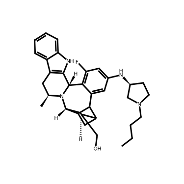 CCCCN1CC[C@H](Nc2cc(F)c3c(c2)C2C4CC2[C@@H](C[C@@H]4CO)N2[C@@H]3c3[nH]c4ccccc4c3C[C@@H]2C)C1